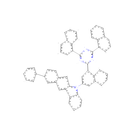 c1ccc(-c2ccc3cc4c(cc3c2)c2ccccc2n4-c2cc(-c3nc(-c4cccc5ccccc45)nc(-c4cccc5ccccc45)n3)c3ccccc3c2)cc1